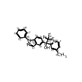 Cc1ccnc(C(O)(c2ccc3c(cnn3-c3ccccc3)c2)C(F)(F)F)c1